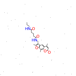 CCCNC(=O)CCCC(=O)NCc1c(C)oc2c(C)c3oc(=O)cc(C)c3cc12